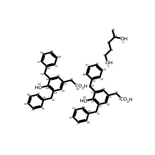 CC(O)CCCO.O=C(O)Cc1cc(Cc2ccccc2)c(O)c(Cc2ccccc2)c1.O=C(O)Cc1cc(Cc2ccccc2)c(O)c(Cc2ccccc2)c1